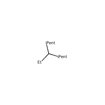 CCCC(C)C(CC)C(C)CCC